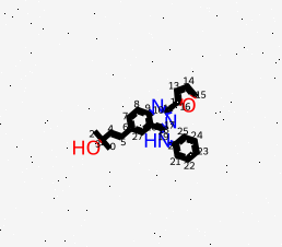 CC(C)(O)/C=C/c1ccc2nc(-c3ccco3)nc(Nc3ccccc3)c2c1